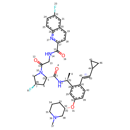 C[C@H](NC(=O)[C@@H]1C[C@@H](F)CN1C(=O)CNC(=O)c1ccc2cc(F)ccc2n1)c1cc(O[C@H]2CCCN(C)C2)ccc1/C=C/C1CC1